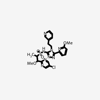 COc1cccc(-c2nnc(NS(=O)(=O)C(C)C(OC)c3ncc(Cl)cn3)n2CCc2cccnc2)n1